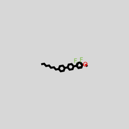 CCCCCCCC1CCC(C2CCC(c3ccc(OC)c(F)c3F)CC2)CC1